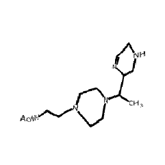 CC(=O)NCCN1CCN(C(C)C2CNCC=N2)CC1